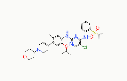 Cc1cc(Nc2ncc(Cl)c(Nc3ccccc3S(=O)(=O)C(C)C)n2)c(OC(C)C)cc1C1=CCN(C2CCOCC2)CC1